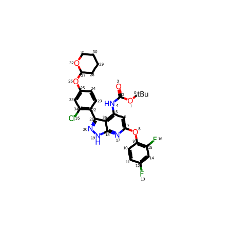 CC(C)(C)OC(=O)Nc1cc(Oc2ccc(F)cc2F)nc2[nH]nc(-c3ccc(OC4CCCCO4)cc3Cl)c12